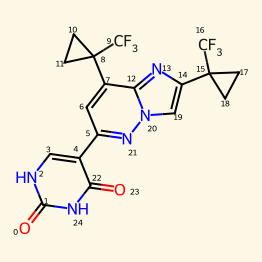 O=c1[nH]cc(-c2cc(C3(C(F)(F)F)CC3)c3nc(C4(C(F)(F)F)CC4)cn3n2)c(=O)[nH]1